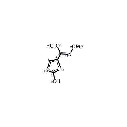 CO/N=C(\C(=O)O)c1csc(O)n1